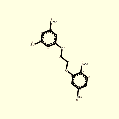 COc1cc(OCCOc2cc(C(C)(C)C)ccc2OC)cc(C(C)(C)C)c1